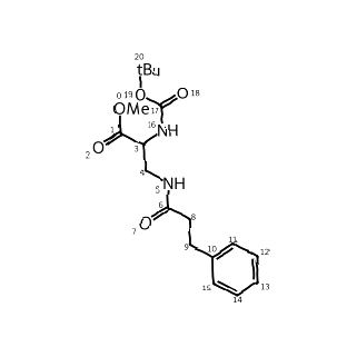 COC(=O)C(CNC(=O)CCc1ccccc1)NC(=O)OC(C)(C)C